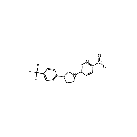 O=[N+]([O-])c1ccc(N2CCC(c3ccc(C(F)(F)F)cc3)C2)cn1